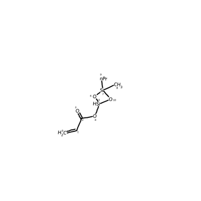 C=CC(=O)O[SiH]1O[Si](C)(CCC)O1